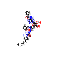 CCCCc1ccc(NC(=O)NCCC[C@H](CNCc2ccccc2O)C[C@H]2O[C@@H](n3cnc4c(NC(=O)c5ccccc5)ncnc43)[C@@H](O)C2O)cc1